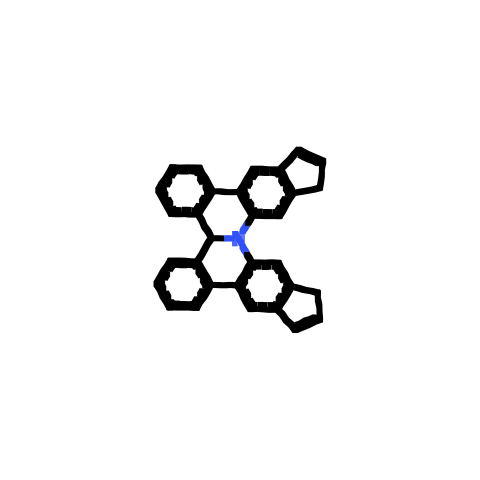 C1=Cc2cc3c(cc2C1)N1c2cc4c(cc2-c2ccccc2C1c1ccccc1-3)C=CC4